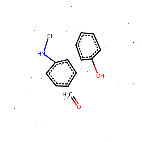 C=O.CCNc1ccccc1.Oc1ccccc1